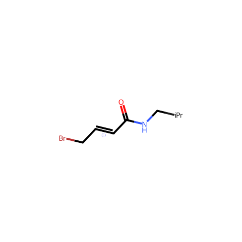 CC(C)CNC(=O)/C=C/CBr